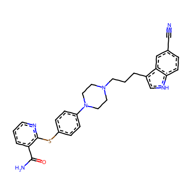 N#Cc1ccc2[nH]cc(CCCN3CCN(c4ccc(Sc5ncccc5C(N)=O)cc4)CC3)c2c1